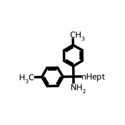 CCCCCCCC(N)(c1ccc(C)cc1)c1ccc(C)cc1